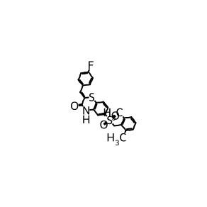 Cc1cccc(C)c1CS(=O)(=O)c1ccc2c(c1)NC(=O)C(=Cc1ccc(F)cc1)S2